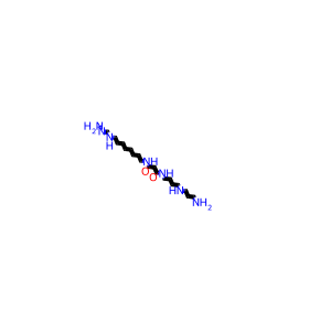 NCCCNCCCCNC(=O)CC(=O)NCCCCCCCCNC=NN